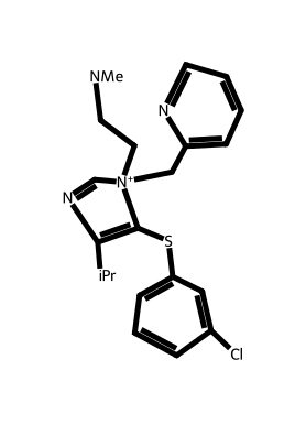 CNCC[N+]1(Cc2ccccn2)C=NC(C(C)C)=C1Sc1cccc(Cl)c1